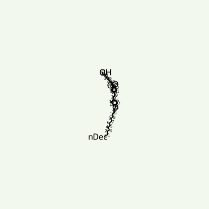 CCCCCCCCCCCCCCCCCCCCCCOc1ccc(C=Cc2ccc(S(=O)(=O)CCCCCCO)cc2)cc1